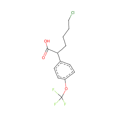 O=C(O)C(CCCCCl)c1ccc(OC(F)(F)F)cc1